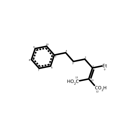 CCC(CCCc1ccccc1)=C(C(=O)O)C(=O)O